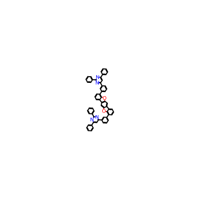 c1ccc(-c2cc(-c3cccc(-c4cccc5c4oc4cc6c(cc45)oc4c(-c5cccc(-c7cc(-c8ccccc8)nc(-c8ccccc8)n7)c5)cccc46)c3)nc(-c3ccccc3)n2)cc1